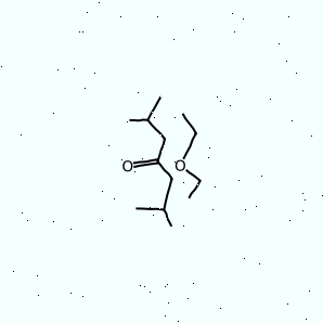 CC(C)CC(=O)CC(C)C.CCOCC